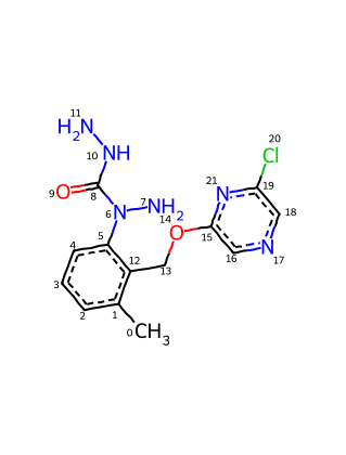 Cc1cccc(N(N)C(=O)NN)c1COc1cncc(Cl)n1